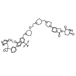 Cn1cnnc1CC1(c2cccc(-n3cc4c(C(F)(F)F)cc(CN5CCC[C@@H](OCCN6CCC(CN7CCN(c8ccc9c(c8)CN(C8CCC(=O)NC8=O)C9=O)CC7)CC6)C5)cn4c3=O)c2)COC1